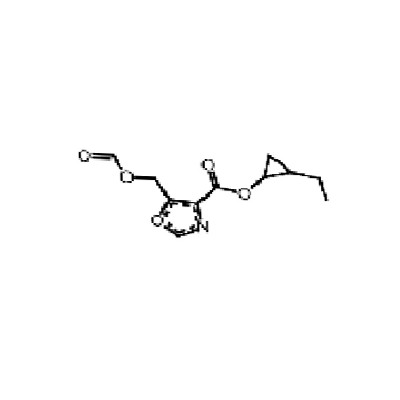 CCC1CC1OC(=O)c1ncoc1COC=O